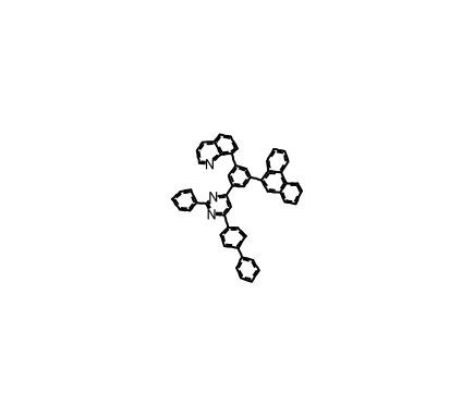 c1ccc(-c2ccc(-c3cc(-c4cc(-c5cc6ccccc6c6ccccc56)cc(-c5cccc6cccnc56)c4)nc(-c4ccccc4)n3)cc2)cc1